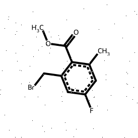 COC(=O)c1c(C)cc(F)cc1CBr